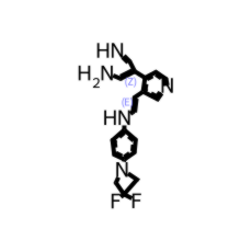 N=C/C(=C\N)c1ccncc1/C=C/Nc1ccc(N2CC(F)(F)C2)cc1